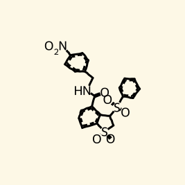 O=C(NCc1ccc([N+](=O)[O-])cc1)c1cccc2c1C(S(=O)(=O)c1ccccc1)CS2(=O)=O